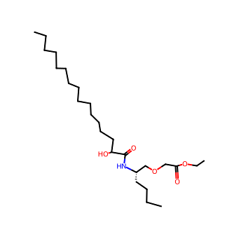 CCCCCCCCCCCCCCC(O)C(=O)N[C@@H](CCCC)COCC(=O)OCC